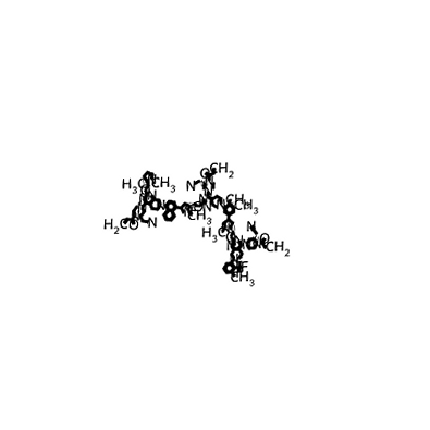 C=CC(=O)N1CCN(c2nc(OC[C@]3(C)CCCN3C)nc3c2CCN(c2ccc(C4C[C@@H](COc5nc6c(c(N7CCN(C(=O)C=C)[C@@H](CC#N)C7)n5)CCN(c5cc(C7C[C@@H](COc8nc9c(c(N%10CCN(C(=O)C=C)[C@@H](CC#N)C%10)n8)CCN(c8cccc(C)c8C(F)(F)F)C9)N(C)C7)cc(C)c5C)C6)N(C)C4)c4ccccc24)C3)CC1CC#N